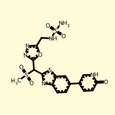 CS(=O)(=O)C(c1nnc(CNS(N)(=O)=O)o1)c1nc2ccc(-c3ccc(=O)[nH]c3)cc2s1